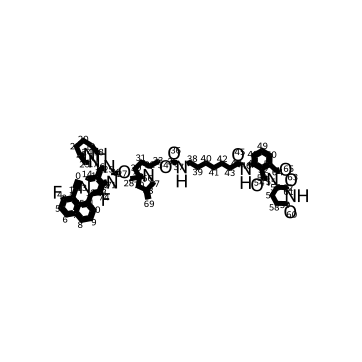 C#Cc1c(F)ccc2cccc(-c3ncc4c(N5CC6CCC(C5)N6)nc(OCC56CCC(COC(=O)NCCCCCCC(=O)Nc7cccc8c7C(=O)N(C7CCC(=O)NC7=O)C8=O)N5CC(=C)C6)nc4c3F)c12